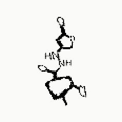 Cc1ccc(C(=O)NNC2=CC(=O)OC2)cc1Cl